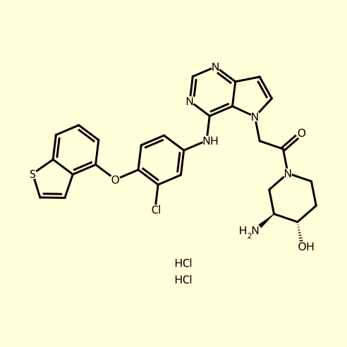 Cl.Cl.N[C@H]1CN(C(=O)Cn2ccc3ncnc(Nc4ccc(Oc5cccc6sccc56)c(Cl)c4)c32)CC[C@@H]1O